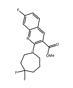 COC(=O)c1cc2ccc(F)cc2nc1N1CCCC(F)(F)CC1